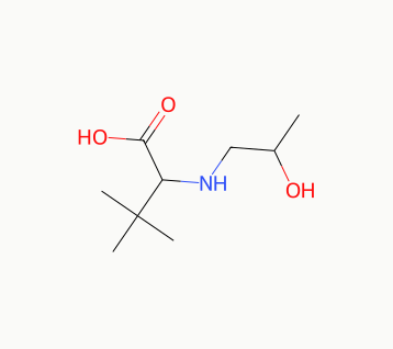 CC(O)CNC(C(=O)O)C(C)(C)C